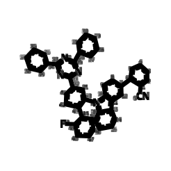 N#Cc1ccccc1-c1ccc2c(c1)c1ccccc1n2-c1cc(-c2nc(-c3ccccc3)nc(-c3ccccc3)n2)ccc1-c1ccccc1F